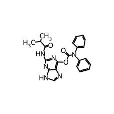 CC(C)C(=O)Nc1nc(OC(=O)N(c2ccccc2)c2ccccc2)c2nc[nH]c2n1